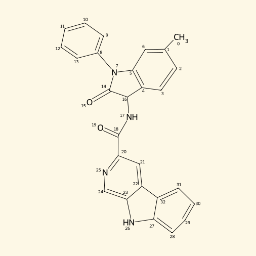 Cc1ccc2c(c1)N(c1ccccc1)C(=O)C2NC(=O)c1cc2c(cn1)[nH]c1ccccc12